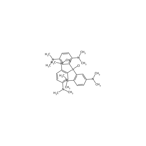 CN(C)c1ccc(N(C)C)c([Si](Cl)(c2cc(N(C)C)ccc2N(C)C)c2cc(N(C)C)ccc2N(C)C)c1